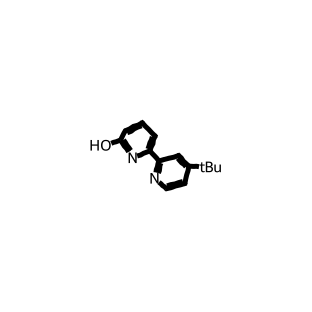 CC(C)(C)c1ccnc(-c2cccc(O)n2)c1